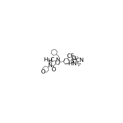 Cc1c(C(=O)NC2CCOCC2)cc(-c2ccc([S+]([O-])NC3(C#N)CC3)c(C(F)(F)F)c2)n1CC1CCCCC1